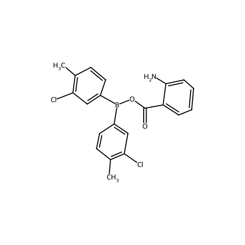 Cc1ccc(B(OC(=O)c2ccccc2N)c2ccc(C)c(Cl)c2)cc1Cl